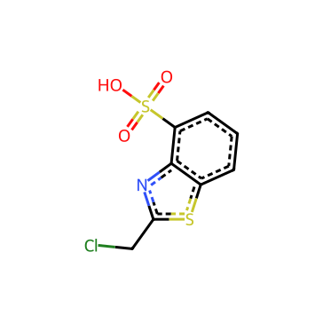 O=S(=O)(O)c1cccc2sc(CCl)nc12